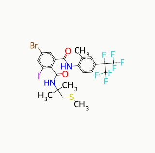 CSCC(C)(C)NC(=O)c1c(I)cc(Br)cc1C(=O)Nc1ccc(C(F)(C(F)(F)F)C(F)(F)F)cc1C